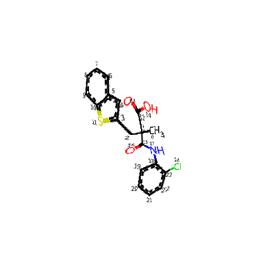 CC(Cc1cc2ccccc2s1)(C(=O)O)C(=O)Nc1ccccc1Cl